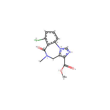 CN1Cc2c(C(=O)OC(C)(C)C)ncn2-c2cccc([18F])c2C1=O